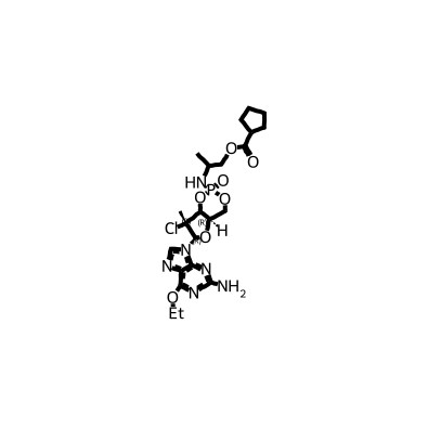 CCOc1nc(N)nc2c1ncn2[C@@H]1O[C@@H]2COP(=O)(NC(C)COC(=O)C3CCCC3)OC2[C@@]1(C)Cl